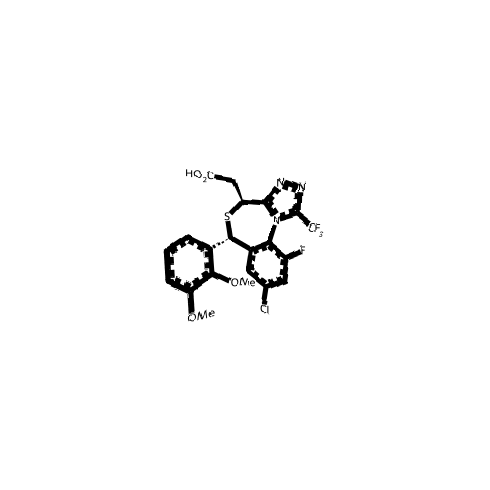 COc1cccc([C@@H]2S[C@@H](CC(=O)O)c3nnc(C(F)(F)F)n3-c3c(F)cc(Cl)cc32)c1OC